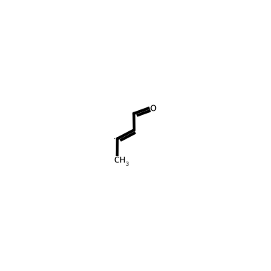 C/[C]=C/C=O